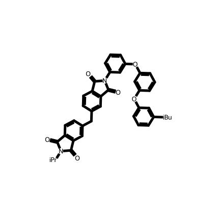 CCC(C)c1cccc(Oc2cccc(Oc3cccc(N4C(=O)c5ccc(Cc6ccc7c(c6)C(=O)N(C(C)C)C7=O)cc5C4=O)c3)c2)c1